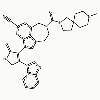 CN1CCC2(CC1)CCN(C(=O)N1CCn3cc(C4=C(c5cnc6ccccn56)CNC4=O)c4cc(C#N)cc(c43)C1)C2